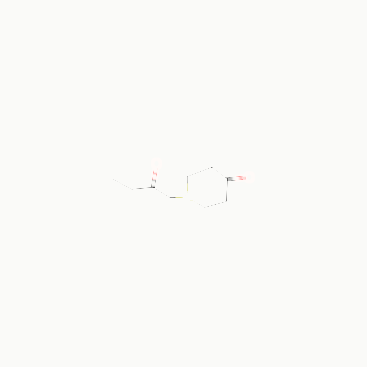 CCC(=O)C[S+]1CCC(=O)CC1